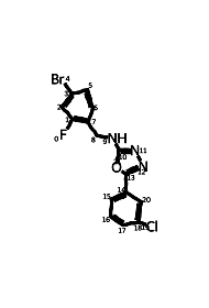 Fc1cc(Br)ccc1CNc1nnc(-c2cccc(Cl)c2)o1